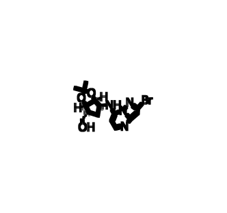 CC1(C)O[C@@H]2[C@@H](CO)C[C@H](Nc3ccnc4cc(Br)nn34)[C@@H]2O1